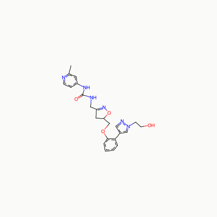 Cc1cc(NC(=O)NCC2=NOC(COc3ccccc3-c3cnn(CCO)c3)C2)ccn1